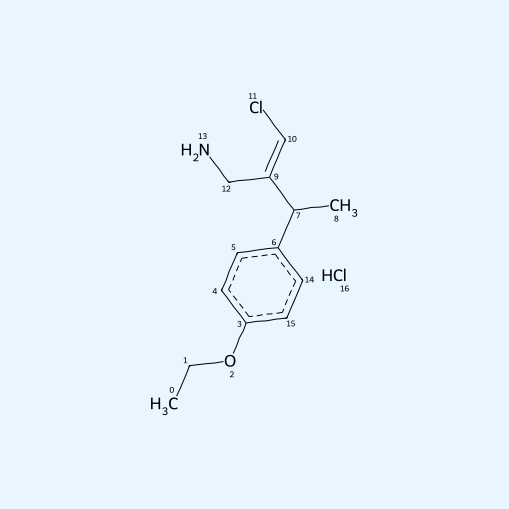 CCOc1ccc(C(C)/C(=C/Cl)CN)cc1.Cl